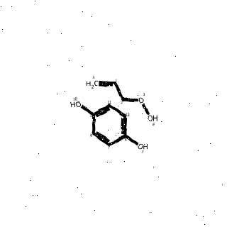 C=CCOO.Oc1ccc(O)cc1